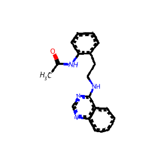 CC(=O)Nc1ccccc1CCNc1ncnc2ccccc12